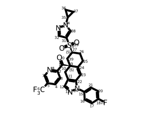 O=C(c1ccc(C(F)(F)F)cn1)[C@]12Cc3cnn(-c4ccc(F)cc4)c3C=C1CC[C@H](S(=O)(=O)c1cnn(C3CC3)c1)C2